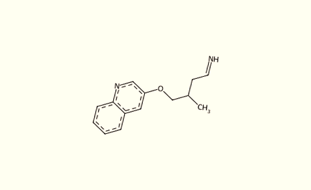 CC(CC=N)COc1cnc2ccccc2c1